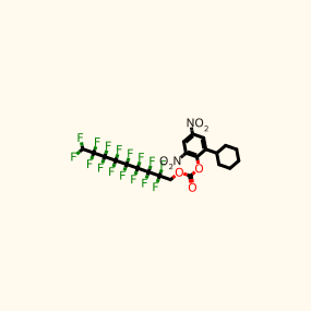 O=C(OCC(F)(F)C(F)(F)C(F)(F)C(F)(F)C(F)(F)C(F)(F)C(F)(F)C(F)F)Oc1c(C2CCCCC2)cc([N+](=O)[O-])cc1[N+](=O)[O-]